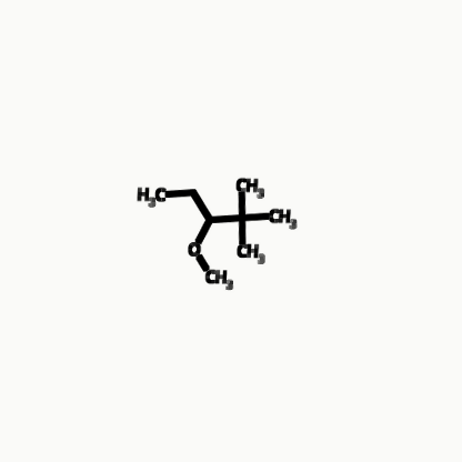 CCC(OC)C(C)(C)C